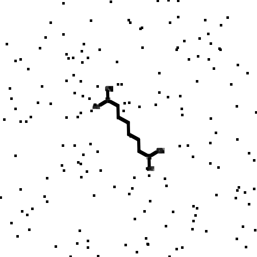 CC(=O)N(C#N)CCCCCCN(C#N)C(C)=O